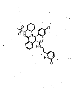 CS(=O)(=O)N[C@H]1CCCC[C@@H]1N1C(=O)c2ccccc2[C@@H](C(=O)NCCc2cccc(=O)[nH]2)[C@@H]1c1ccc(Cl)cc1Cl